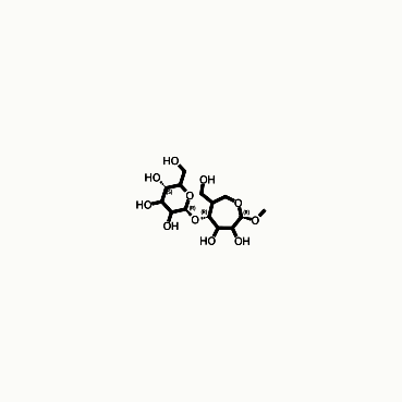 CO[C@@H]1OCC(CO)[C@@H](O[C@@H]2OC(CO)[C@@H](O)C(O)C2O)C(O)C1O